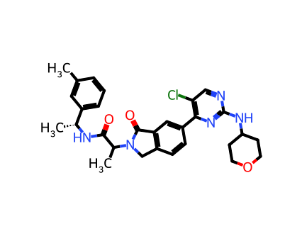 Cc1cccc([C@@H](C)NC(=O)C(C)N2Cc3ccc(-c4nc(NC5CCOCC5)ncc4Cl)cc3C2=O)c1